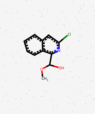 COC(O)c1nc(Cl)cc2ccccc12